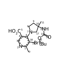 Cc1ncc(C(=O)O)c(N2CCC(C)(NC(=O)OC(C)(C)C)C2)c1Br